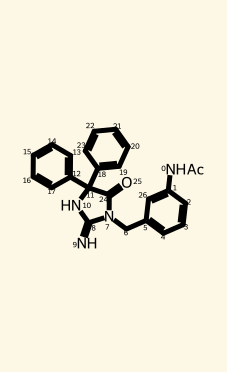 CC(=O)Nc1cccc(CN2C(=N)NC(c3ccccc3)(c3ccccc3)C2=O)c1